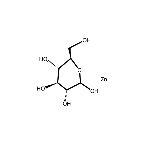 OC[C@H]1OC(O)[C@H](O)[C@@H](O)[C@@H]1O.[Zn]